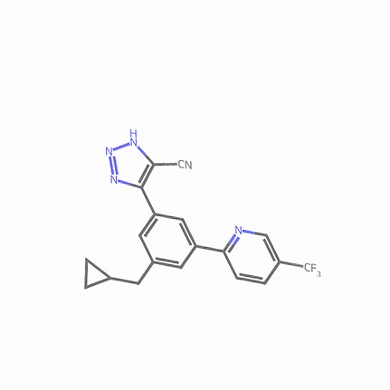 N#Cc1[nH]nnc1-c1cc(CC2CC2)cc(-c2ccc(C(F)(F)F)cn2)c1